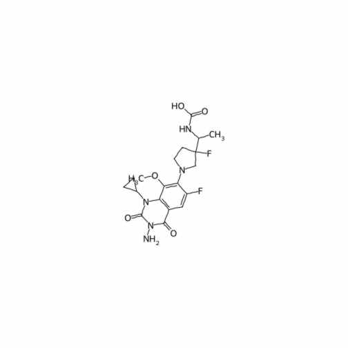 COc1c(N2CCC(F)(C(C)NC(=O)O)C2)c(F)cc2c(=O)n(N)c(=O)n(C3CC3)c12